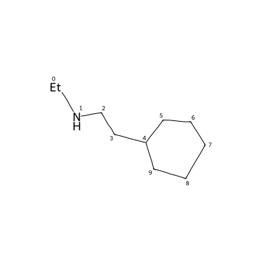 CCNCCC1CCCCC1